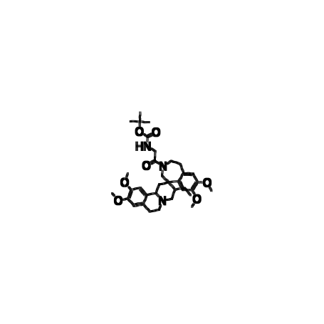 CCC1CN2CCc3cc(OC)c(OC)cc3C2CC12CN(C(=O)CNC(=O)OC(C)(C)C)CCc1cc(OC)c(OC)cc12